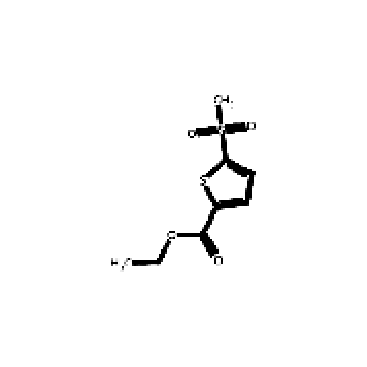 CCOC(=O)c1ccc(S(C)(=O)=O)s1